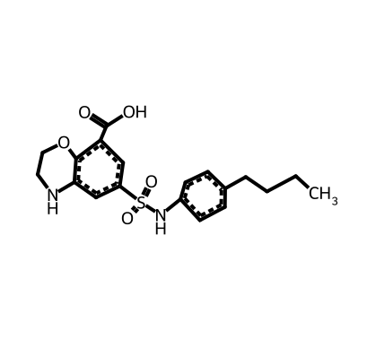 CCCCc1ccc(NS(=O)(=O)c2cc3c(c(C(=O)O)c2)OCCN3)cc1